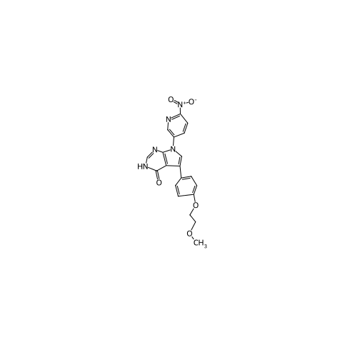 COCCOc1ccc(-c2cn(-c3ccc([N+](=O)[O-])nc3)c3nc[nH]c(=O)c23)cc1